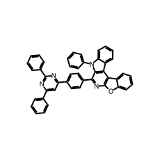 c1ccc(-c2cc(-c3ccc(-c4nc5oc6ccccc6c5c5c6ccccc6n(-c6ccccc6)c45)cc3)nc(-c3ccccc3)n2)cc1